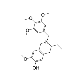 CCC1Cc2cc(O)c(OC)cc2CN1Cc1cc(OC)c(OC)c(OC)c1